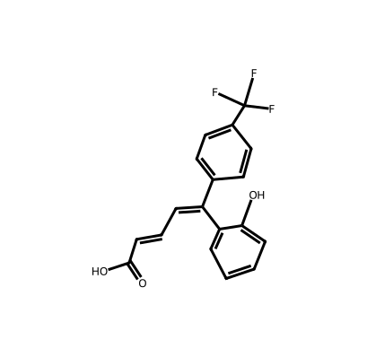 O=C(O)C=CC=C(c1ccc(C(F)(F)F)cc1)c1ccccc1O